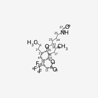 CCCc1cc2c(C(F)(F)F)cc(=O)oc2c(CCC)c1OCCCCNC=O